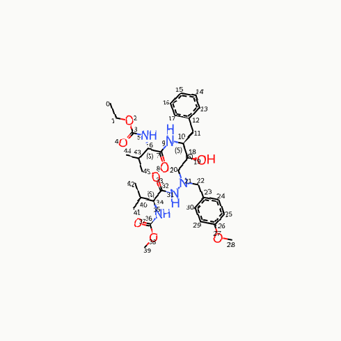 CCOC(=O)N[C@H](C(=O)N[C@@H](Cc1ccccc1)[C@@H](O)CN(Cc1ccc(OC)cc1)NC(=O)[C@@H](NC(=O)OC)C(C)C)C(C)C